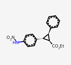 CCOC(=O)[C@@H]1[C@H](c2ccccc2)[C@H]1c1ccc(N[N+](=O)[O-])cc1